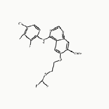 COc1cc2ncnc(Nc3ccc(Cl)c(C)c3F)c2cc1OCCOC(F)F